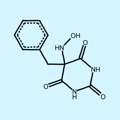 O=C1NC(=O)C(Cc2ccccc2)(NO)C(=O)N1